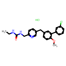 CCNC(=O)NCc1ccc(Cc2ccc(OC)c(-c3cccc(Cl)c3)c2)cn1.Cl